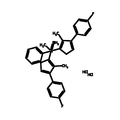 CC1=[C]([Zr]([CH3])(=[SiH2])([C]2=C(C)C(c3ccc(F)cc3)=CC2)[c]2ccccc2)CC=C1c1ccc(F)cc1.Cl.Cl